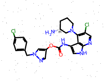 N[C@@H]1CCCN(c2c(Cl)cnc3[nH]cc(NC(=O)Oc4cnn(Cc5ccc(Cl)cc5)c4)c23)C1